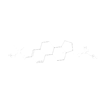 CC(C)(C)[SiH2]O[C@H]1CCC2C3CCc4cc(O[Si](C)(C)C(C)(C)C)ccc4C3CC[C@@]21C